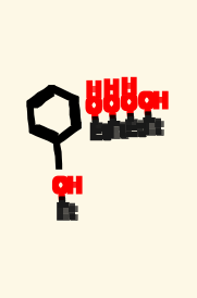 CCO.CCO.CCO.CCO.CCO.Cc1ccccc1